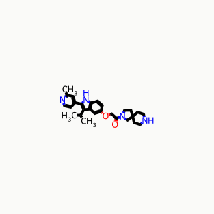 Cc1cc(-c2[nH]c3ccc(OCC(=O)N4CCC5(CCNCC5)C4)cc3c2C(C)C)ccn1